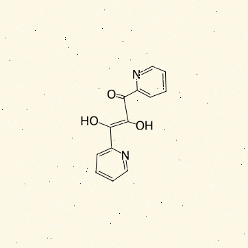 O=C(C(O)=C(O)c1ccccn1)c1ccccn1